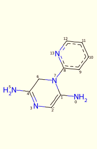 NC1=[C]N=C(N)CN1c1ccccn1